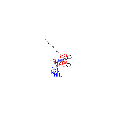 CCCCCCCCCCCCCOC(=O)[C@H](Cc1ccccc1)NP(=O)(OC[C@@]1(C)O[C@@H](n2cnc3c(N)nc(F)nc32)C[C@@H]1O)Oc1ccccc1